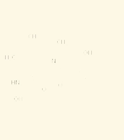 CC(C)C(C(=O)NO)N(C)C(=O)C(O)c1ccccc1